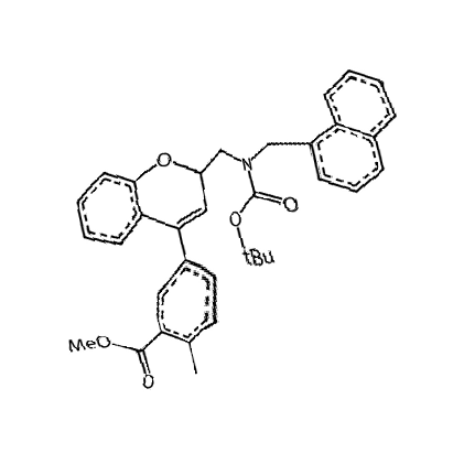 COC(=O)c1cc(C2=CC(CN(Cc3cccc4ccccc34)C(=O)OC(C)(C)C)Oc3ccccc32)ccc1C